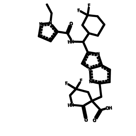 CCn1nccc1C(=O)NC(c1cn2nc(CC3(C(=O)O)CC(F)(F)CNC3=O)ccc2n1)C1CCCC(F)(F)C1